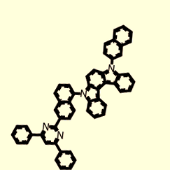 c1ccc(-c2cc(-c3ccccc3)nc(-c3ccc4c(-n5c6ccccc6c6c7c8ccccc8n(-c8ccc9ccccc9c8)c7ccc65)cccc4c3)n2)cc1